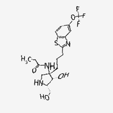 CCC(=O)N[C@@]1(CCCc2nc3cc(OC(F)(F)F)ccc3s2)CN[C@@H](CO)[C@H]1O